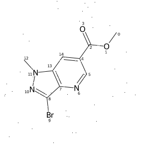 COC(=O)c1cnc2c(Br)nn(C)c2c1